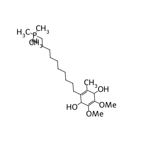 COC1=C(OC)C(O)C(CCCCCCCCCC[PH](C)(C)C)=C(C)C1O